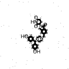 O=C1CCC(N2Cc3cc(CN4CCN(C(c5ccc(O)cc5)c5ccc(O)cc5)CC4)ccc3C2=O)C(=O)N1